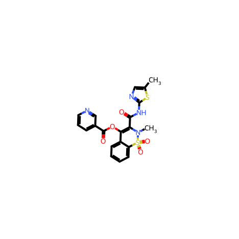 Cc1cnc(NC(=O)C2=C(OC(=O)c3cccnc3)c3ccccc3S(=O)(=O)N2C)s1